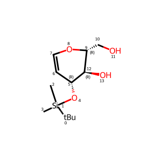 CC(C)(C)[Si](C)(C)O[C@@H]1C=CO[C@H](CO)[C@H]1O